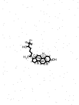 CC(CCCC(O)C(F)(F)F)[C@H]1CC[C@H]2[C@@H]3CC[C@H]4C[C@@H](O)CC[C@]4(C)[C@H]3CC[C@]12C